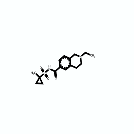 CCN1CCc2cc(C(=O)NS(=O)(=O)C3(C)CC3)ccc2C1